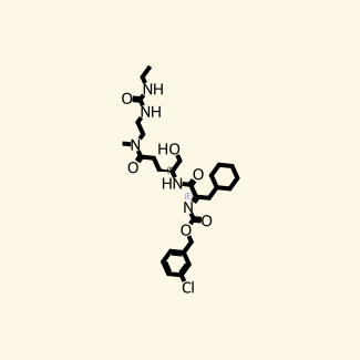 CCNC(=O)NCCN(C)C(=O)CC[C@@H](CO)NC(=O)/C(CC1CCCCC1)=N/C(=O)OCc1cccc(Cl)c1